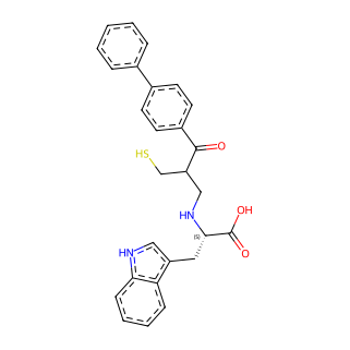 O=C(c1ccc(-c2ccccc2)cc1)C(CS)CN[C@@H](Cc1c[nH]c2ccccc12)C(=O)O